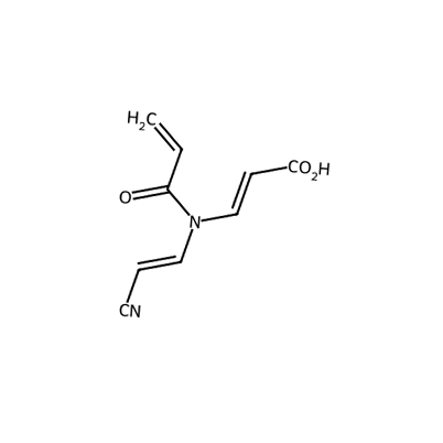 C=CC(=O)N(C=CC#N)C=CC(=O)O